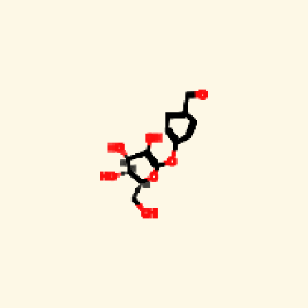 O=Cc1ccc(OC2=C(O)[C@@H](O)[C@@H](O)[C@@H](CO)O2)cc1